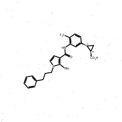 CC(C)(C)c1c(C(=O)Nc2cc([C@H]3C[C@H]3C(=O)O)ccc2C(F)(F)F)ccn1CCCc1ccccc1